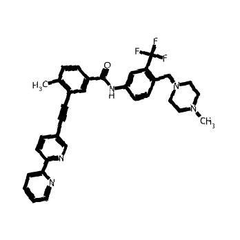 Cc1ccc(C(=O)Nc2ccc(CN3CCN(C)CC3)c(C(F)(F)F)c2)cc1C#Cc1ccc(-c2ccccn2)nc1